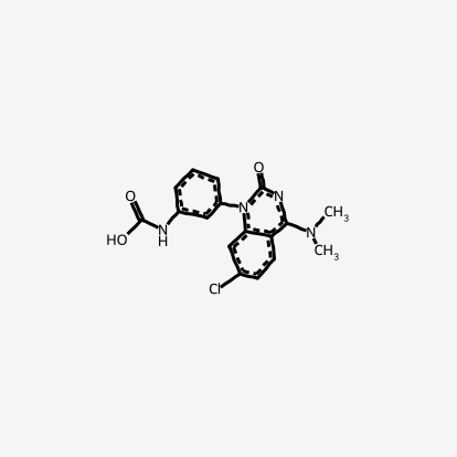 CN(C)c1nc(=O)n(-c2cccc(NC(=O)O)c2)c2cc(Cl)ccc12